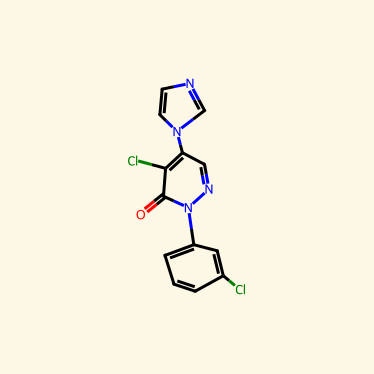 O=c1c(Cl)c(-n2ccnc2)cnn1-c1cccc(Cl)c1